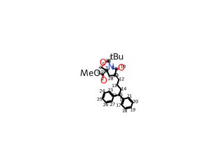 COC(=O)[C@@]12CO[C@@H](C(C)(C)C)N1C(=O)[C@@H](CCCC(c1ccccc1)c1ccccc1)C2